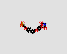 Cc1cc(OCCCS(C)(=O)=O)cc(C)c1-c1cccc(COc2ccc(B3OC(=O)CN(C)CC(=O)O3)cc2)c1